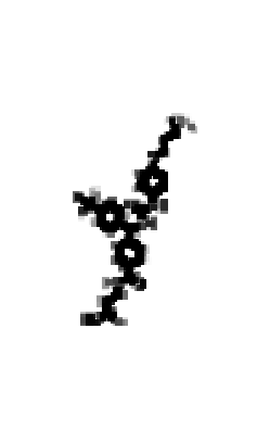 CCCCOc1ccc(NC(=O)NC(c2ccc(C(=O)NCCC(=O)O)cc2)c2ccc(C(F)(F)F)cc2)cc1